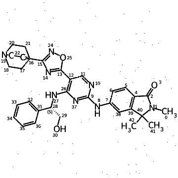 CN1C(=O)c2ccc(Nc3ncc(-c4nc(C56CCN(CC5)CC6)no4)c(N[C@H](CO)c4ccccc4)n3)cc2C1(C)C